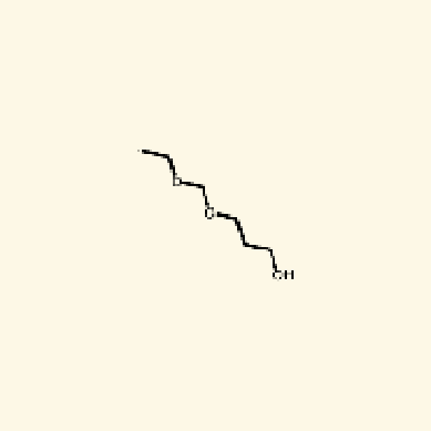 [CH2]COCOCCCO